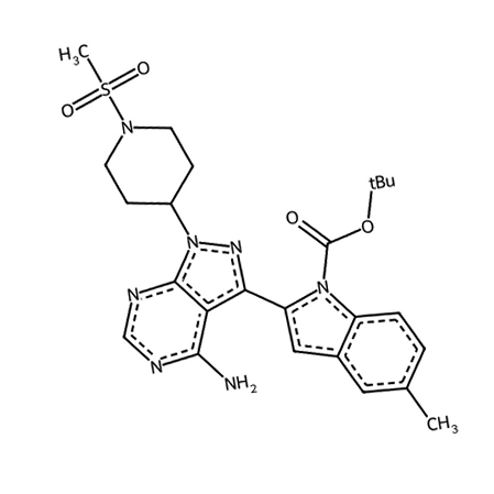 Cc1ccc2c(c1)cc(-c1nn(C3CCN(S(C)(=O)=O)CC3)c3ncnc(N)c13)n2C(=O)OC(C)(C)C